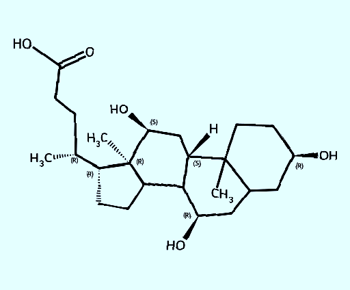 C[C@H](CCC(=O)O)[C@H]1CCC2C3[C@H](O)CC4C[C@H](O)CCC4(C)[C@H]3C[C@H](O)[C@@]21C